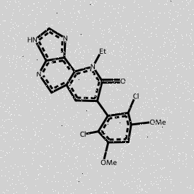 CCn1c(=O)c(-c2c(Cl)c(OC)cc(OC)c2Cl)cc2cnc3[nH]cnc3c21